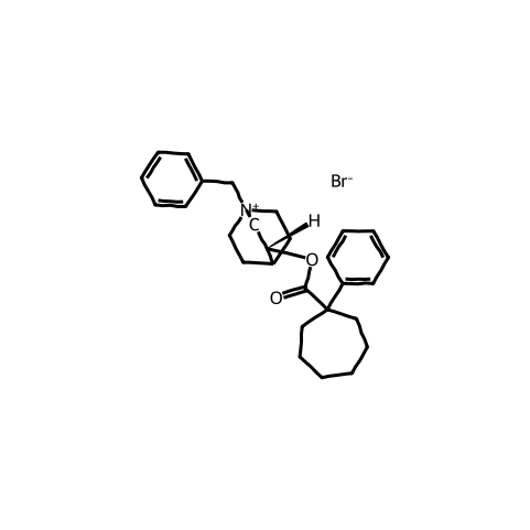 O=C(O[C@H]1C[N+]2(Cc3ccccc3)CCC1CC2)C1(c2ccccc2)CCCCCC1.[Br-]